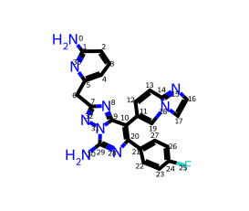 Nc1cccc(Cc2nc3c(-c4ccc5nccn5c4)c(-c4ccc(F)cc4)nc(N)n3n2)n1